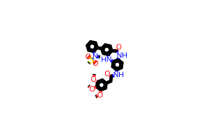 COc1cc(CC(=O)Nc2ccc3c(c2)Nc2cc(-c4ccccc4N(C)S(C)(=O)=O)ccc2C(=O)N3)cc(OC)c1OC